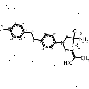 CC(C)=CCN(CC(C)(C)N)c1ccc(CCc2ccc(Cl)cc2)cc1